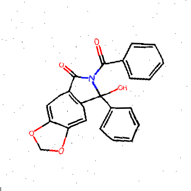 O=C(c1ccccc1)N1C(=O)c2cc3c(cc2C1(O)c1ccccc1)OCO3